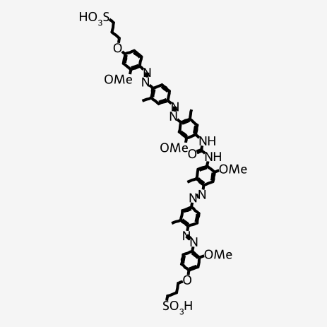 COc1cc(OCCCS(=O)(=O)O)ccc1/N=N/c1ccc(N=Nc2cc(OC)c(NC(=O)Nc3cc(C)c(/N=N/c4ccc(/N=N/c5ccc(OCCCS(=O)(=O)O)cc5OC)c(C)c4)cc3OC)cc2C)cc1C